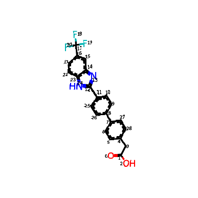 O=C(O)Cc1ccc(-c2ccc(-c3nc4cc(C(F)(F)F)ccc4[nH]3)cc2)cc1